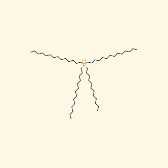 CCCCCCCCCCCCCC[PH](CCCCCCCCCCCC)(CCCCCCCCCCCCCC)CCCCCCCCCCCCCC